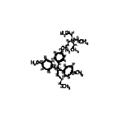 CCCC[B-](c1ccc(C)cc1)(c1ccc(C)cc1)c1ccc(C)cc1.CC[N+](CC)(CC)CC